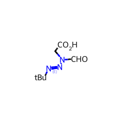 CC(C)(C)/N=N/N(C=O)CC(=O)O